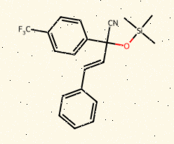 C[Si](C)(C)OC(C#N)(C=Cc1ccccc1)c1ccc(C(F)(F)F)cc1